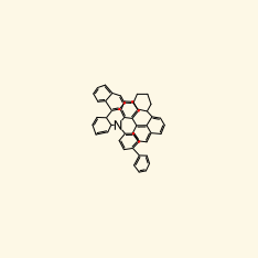 C1=CC(c2cccc3ccccc23)C(N(c2ccc(-c3ccccc3)cc2)c2ccccc2-c2cccc3cccc(C4CCCCC4)c23)C=C1